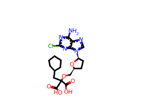 Nc1nc(Cl)nc2c1ncn2[C@H]1CC[C@@H](COC(CC2CCCCC2)(C(=O)O)C(=O)O)O1